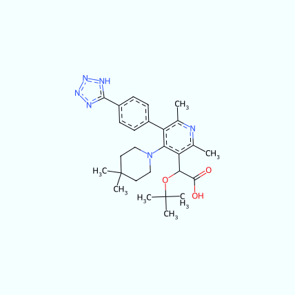 Cc1nc(C)c(C(OC(C)(C)C)C(=O)O)c(N2CCC(C)(C)CC2)c1-c1ccc(-c2nnn[nH]2)cc1